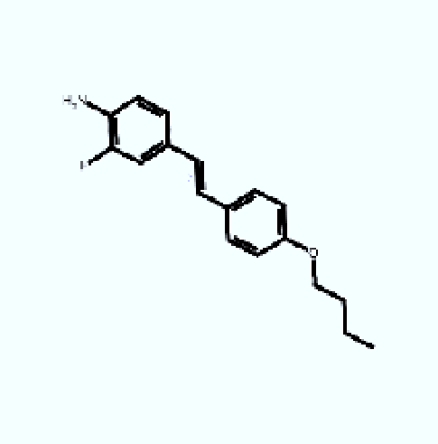 CCCCOc1ccc(/C=C/c2ccc(N)c(F)c2)cc1